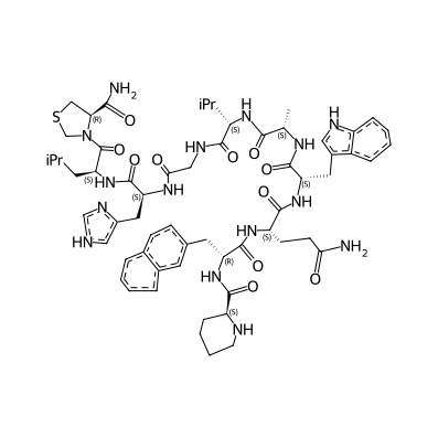 CC(C)C[C@H](NC(=O)[C@H](Cc1c[nH]cn1)NC(=O)CNC(=O)[C@@H](NC(=O)[C@H](C)NC(=O)[C@H](Cc1c[nH]c2ccccc12)NC(=O)[C@H](CCC(N)=O)NC(=O)[C@@H](Cc1ccc2ccccc2c1)NC(=O)[C@@H]1CCCCN1)C(C)C)C(=O)N1CSC[C@H]1C(N)=O